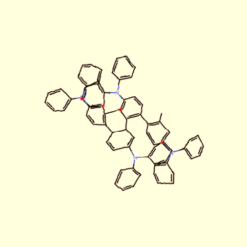 Cc1cc(N(c2ccccc2)c2ccccc2)ccc1-c1ccc(N(c2ccccc2)c2ccccc2)cc1C1C=C(N(c2ccccc2)c2ccccc2)C=CC1c1ccc(N(c2ccccc2)c2ccccc2)cc1C